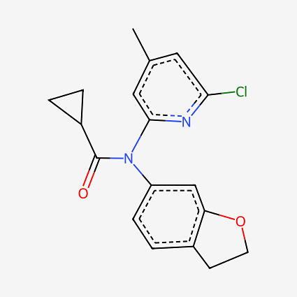 Cc1cc(Cl)nc(N(C(=O)C2CC2)c2ccc3c(c2)OCC3)c1